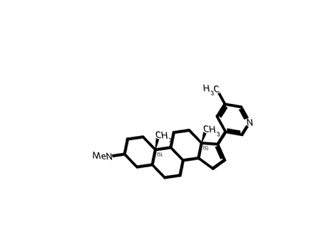 CNC1CC[C@@]2(C)C(CCC3C2CC[C@]2(C)C(c4cncc(C)c4)=CCC32)C1